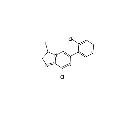 ClC1=NC(c2ccccc2Cl)=CN2C1=NCC2I